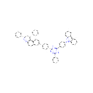 c1ccc(-c2cc(-c3ccccc3)c3c(ccc4cc(-c5ccc(-c6nc(-c7ccccc7)nc(-c7ccc(-n8c9ccccc9c9ccccc98)cc7)n6)cc5)ccc43)n2)cc1